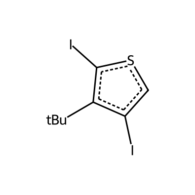 CC(C)(C)c1c(I)csc1I